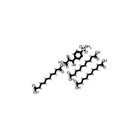 NS(=O)(=O)c1ccc(C(Br)C(Br)C(=O)O)cc1.O=C(O)CCCCCCCCC(=O)O.O=C(O)CCCCCCCCC(=O)O.O=C(O)CCCCCCCCC(=O)O